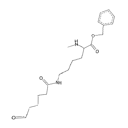 CNC(CCCCNC(=O)CCCCC=O)C(=O)OCc1ccccc1